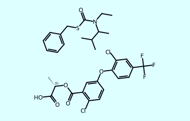 CCN(C(=O)SCc1ccccc1)C(C)C(C)C.C[C@H](OC(=O)c1cc(Oc2ccc(C(F)(F)F)cc2Cl)ccc1Cl)C(=O)O